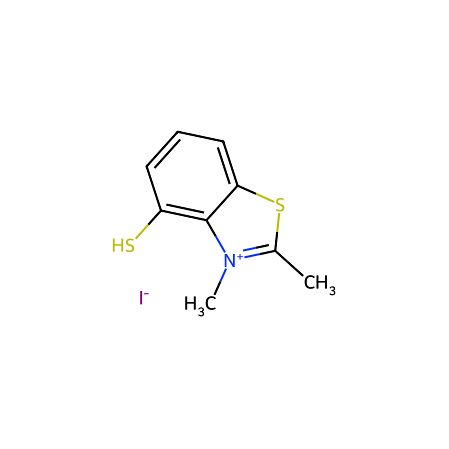 Cc1sc2cccc(S)c2[n+]1C.[I-]